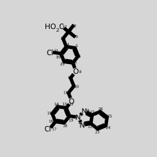 CC(C)(Cc1ccc(OCCCOc2ccc(Cl)cc2-n2nc3ccccc3n2)cc1Cl)C(=O)O